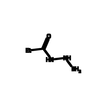 BNNC(=O)CC